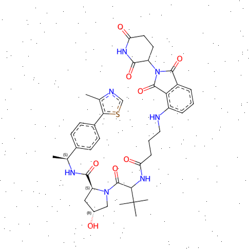 Cc1ncsc1-c1ccc([C@H](C)NC(=O)[C@@H]2C[C@@H](O)CN2C(=O)C(NC(=O)CCCNc2cccc3c2C(=O)N(C2CCC(=O)NC2=O)C3=O)C(C)(C)C)cc1